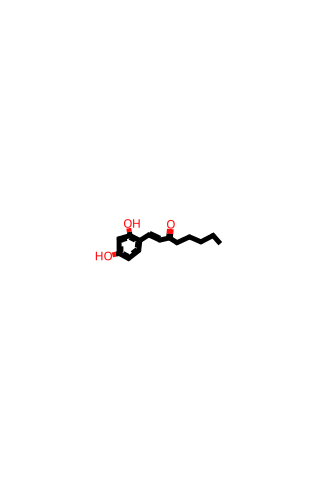 CCCCCC(=O)C=Cc1ccc(O)cc1O